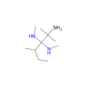 CCC(C)C(NC)(NC)C(C)(C)[SiH3]